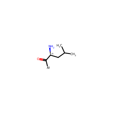 CC(C)C[C@H](N)[C](=O)[Al]